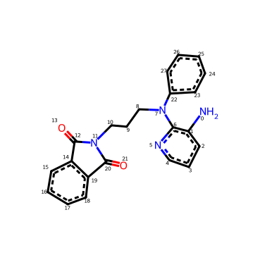 Nc1cccnc1N(CCCN1C(=O)c2ccccc2C1=O)c1ccccc1